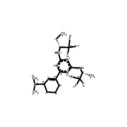 CC[C@@H](Nc1nc(N[C@H](C)C(F)(F)F)nc(C2=CC(N(C)C)CCC2)n1)C(F)(F)F